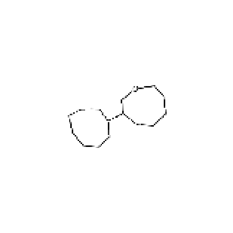 C1CCCC(C2CCCCCOC2)CCC1